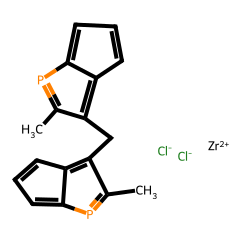 CC1=PC2=CC=CC2=C1CC1=C2C=CC=C2P=C1C.[Cl-].[Cl-].[Zr+2]